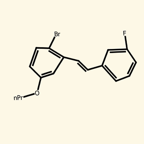 CCCOc1ccc(Br)c(C=Cc2cccc(F)c2)c1